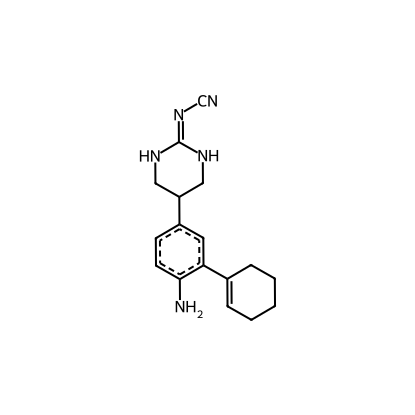 N#CN=C1NCC(c2ccc(N)c(C3=CCCCC3)c2)CN1